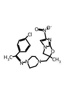 CC(=NN1CCN(CC2(C)Cn3cc([N+](=O)[O-])nc3O2)CC1)c1ccc(Cl)cc1